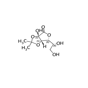 CC1(C)O[C@H]2[C@@H]([C@H](O)CO)OC(=O)[C@@]2(O)O1